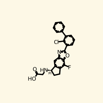 O=C(O)CN[C@@H]1CCc2c1cc1nc(-c3cccc(-c4ccccc4)c3Cl)oc1c2F